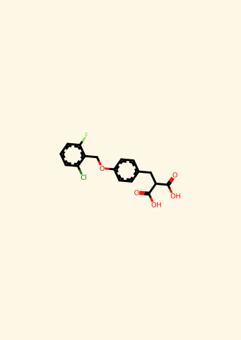 O=C(O)C(Cc1ccc(OCc2c(F)cccc2Cl)cc1)C(=O)O